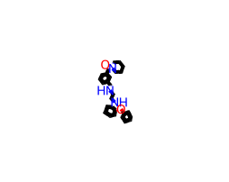 O=C(c1cccc(CNCCNc2ccccc2Oc2ccccc2)c1)N1CCCCC1